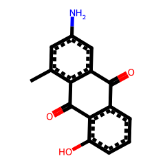 Cc1cc(N)cc2c1C(=O)c1c(O)cccc1C2=O